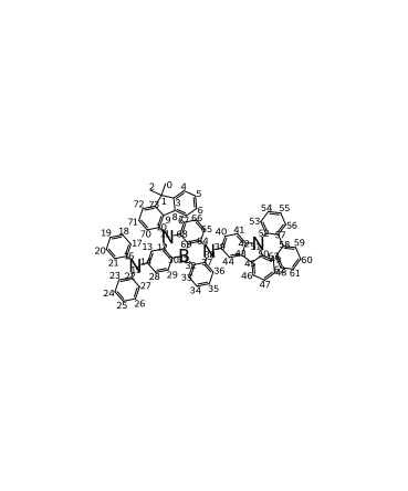 CC1(C)c2ccccc2-c2c(N3c4cc(N(c5ccccc5)c5ccccc5)ccc4B4c5ccccc5N(c5ccc6c(c5)c5ccccc5n6-c5ccccc5-c5ccccc5)c5cccc3c54)cccc21